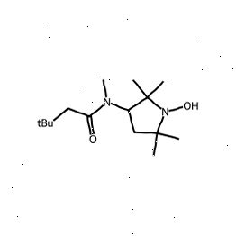 CN(C(=O)CC(C)(C)C)C1CC(C)(C)N(O)C1(C)C